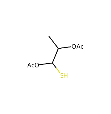 CC(=O)OC(C)C(S)OC(C)=O